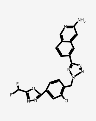 Nc1cc2cc(-c3nnn(Cc4ccc(-c5nnc(C(F)F)o5)cc4Cl)n3)ccc2cn1